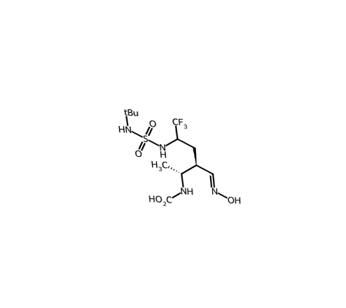 C[C@@H](NC(=O)O)[C@H](/C=N/O)CC(NS(=O)(=O)NC(C)(C)C)C(F)(F)F